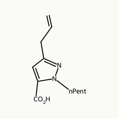 C=CCc1cc(C(=O)O)n(CCCCC)n1